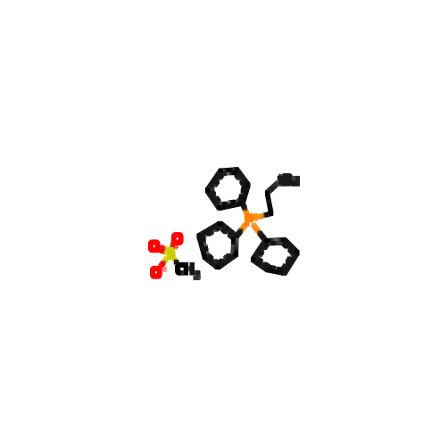 CC(C)(C)CC[P+](c1ccccc1)(c1ccccc1)c1ccccc1.CS(=O)(=O)[O-]